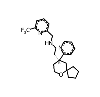 FC(F)(F)c1cccc(CNCC[C@@]2(c3ccccn3)CCOC3(CCCC3)C2)n1